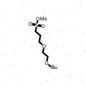 CCC(C)OCCOCCCS(=O)(=O)OC